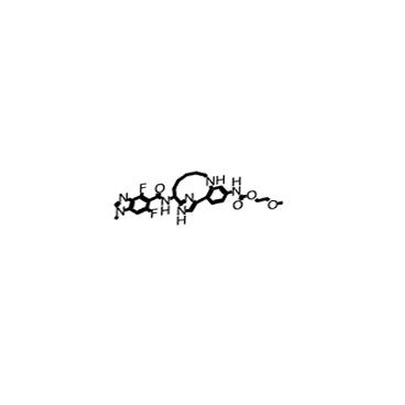 COCCOC(=O)Nc1ccc2c(c1)NCCCCCC(NC(=O)c1c(F)cc3c(ncn3C)c1F)c1nc-2c[nH]1